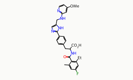 CCc1cc(F)cc(C)c1C(=O)NC(Cc1ccc(-c2ncc(CNc3cc(OC)ccn3)[nH]2)cc1)C(=O)O